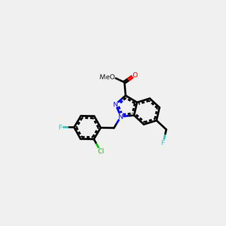 COC(=O)c1nn(Cc2ccc(F)cc2Cl)c2cc(CF)ccc12